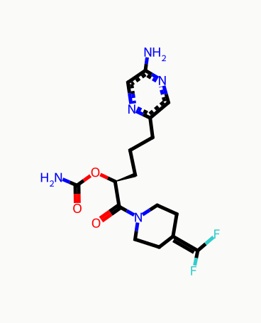 NC(=O)O[C@@H](CCCc1cnc(N)cn1)C(=O)N1CCC(=C(F)F)CC1